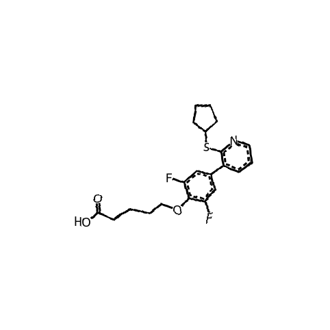 O=C(O)CCCCOc1c(F)cc(-c2cccnc2SC2CCCC2)cc1F